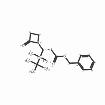 CC(C)(C)[Si](C)(C)[C@@H](CC(=O)OCc1ccccc1)N1CCC1=O